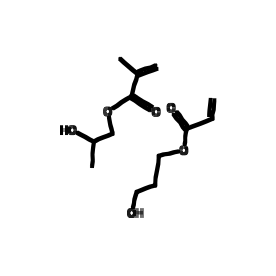 C=C(C)C(=O)OCC(C)O.C=CC(=O)OCCCO